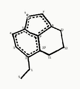 CCc1ccc2scc3c2c1CC[CH]3